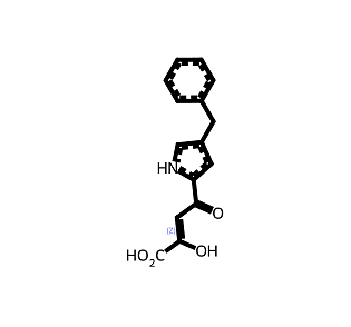 O=C(O)/C(O)=C/C(=O)c1cc(Cc2ccccc2)c[nH]1